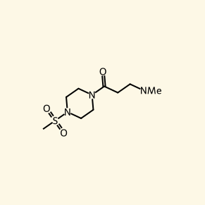 CNCCC(=O)N1CCN(S(C)(=O)=O)CC1